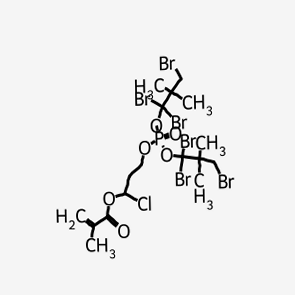 C=C(C)C(=O)OC(Cl)CCOP(=O)(OC(Br)(Br)C(C)(C)CBr)OC(Br)(Br)C(C)(C)CBr